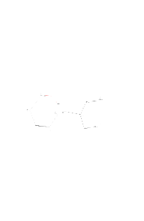 CCC(CC)[SiH]1CCCCO1